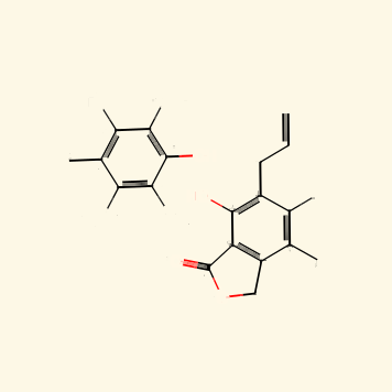 C=CCc1c(O)c2c(c(C)c1CC)COC2=O.CCCCCc1c(O)c(C(=O)O)c(C(=O)OCC)c(C)c1CC